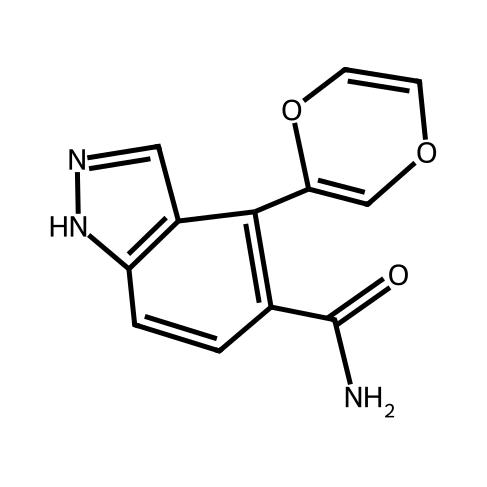 NC(=O)c1ccc2[nH]ncc2c1C1=COC=CO1